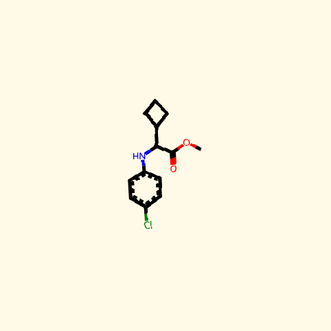 COC(=O)C(Nc1ccc(Cl)cc1)C1CCC1